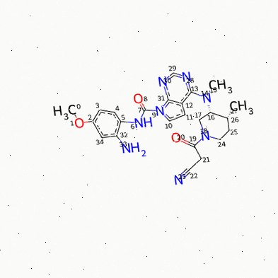 COc1ccc(NC(=O)n2ccc3c(N(C)[C@H]4CN(C(=O)CC#N)CC[C@H]4C)ncnc32)c(N)c1